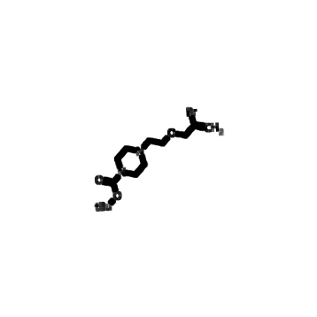 C=C(Br)COCCN1CCN(C(=O)OC(C)(C)C)CC1